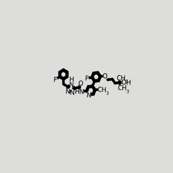 Cc1cnc(NC(=O)c2nnc(Cc3ccccc3F)[nH]2)cc1-c1cc(OCCCC(C)(C)O)ccc1F